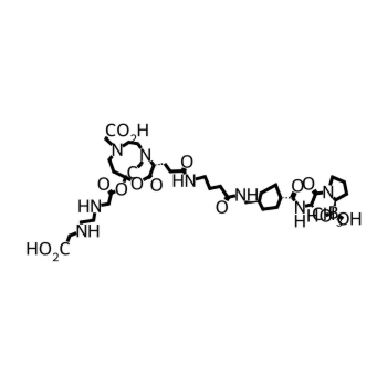 C[C@@H](NC(=O)[C@H]1CC[C@H](CNC(=O)CCCNC(=O)CC[C@@H]2C(=O)OC3(OC(=O)CNCCNCC(=O)O)CCN(CC(=O)O)CCN2CC3)CC1)C(=O)N1CCC[C@H]1B(O)O